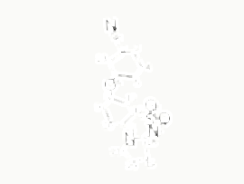 N#Cc1cccc(Oc2ccc3c(c2)S(=O)(=O)N=C2CCCN23)c1